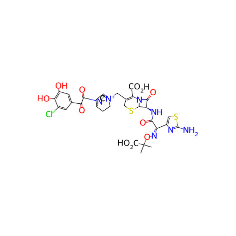 CC(C)(O/N=C(\C(=O)N[C@@H]1C(=O)N2C(C(=O)O)=C(C[N+]34CCC(CC3)N(C(=O)C(=O)c3cc(O)c(O)c(Cl)c3)CC4)CSC12)c1csc(N)n1)C(=O)O